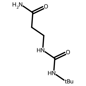 CC(C)(C)NC(=O)NCCC(N)=O